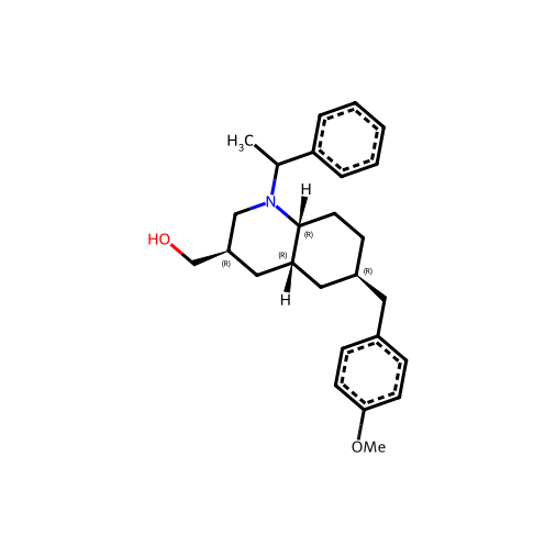 COc1ccc(C[C@@H]2CC[C@@H]3[C@@H](C[C@@H](CO)CN3C(C)c3ccccc3)C2)cc1